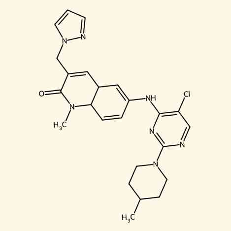 CC1CCN(c2ncc(Cl)c(NC3=CC4C=C(Cn5cccn5)C(=O)N(C)C4C=C3)n2)CC1